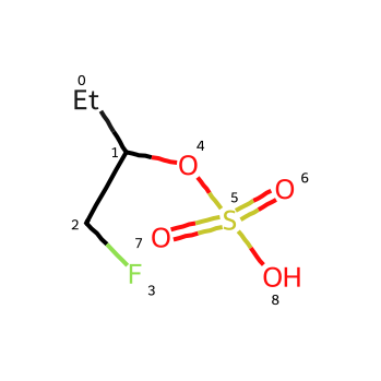 CCC(CF)OS(=O)(=O)O